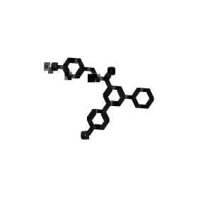 O=C(NCc1ccc(C(F)(F)F)nc1)c1cc(-c2ccc(Cl)cc2)cc(C2CCCCC2)c1